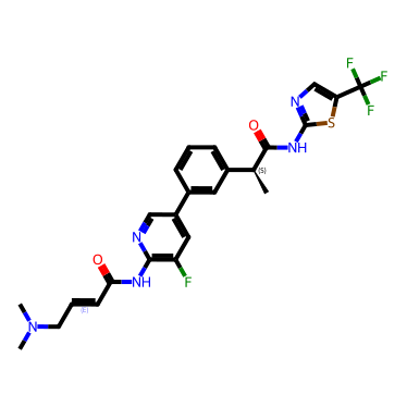 C[C@H](C(=O)Nc1ncc(C(F)(F)F)s1)c1cccc(-c2cnc(NC(=O)/C=C/CN(C)C)c(F)c2)c1